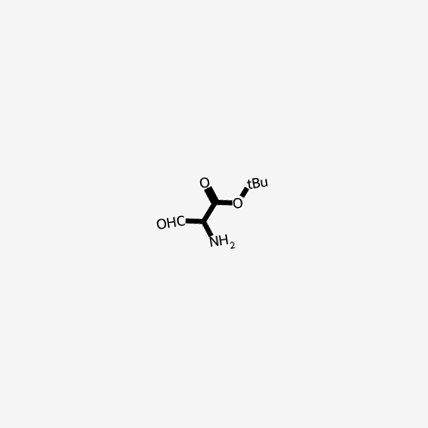 CC(C)(C)OC(=O)C(N)C=O